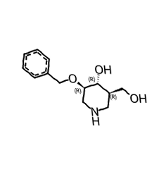 OC[C@H]1CNC[C@@H](OCc2ccccc2)[C@@H]1O